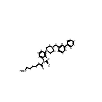 CCCCCCCCCCCCCCCC(=O)n1c(=O)oc2c(N3CCN(Cc4cccc(-c5ccccc5)c4)CC3)cccc21